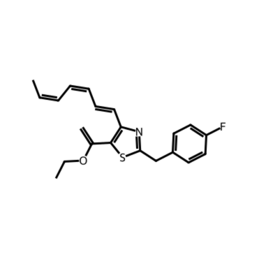 C=C(OCC)c1sc(Cc2ccc(F)cc2)nc1/C=C/C=C\C=C/C